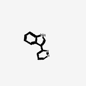 [c]1[nH]c2ccccc2c1-c1cccnn1